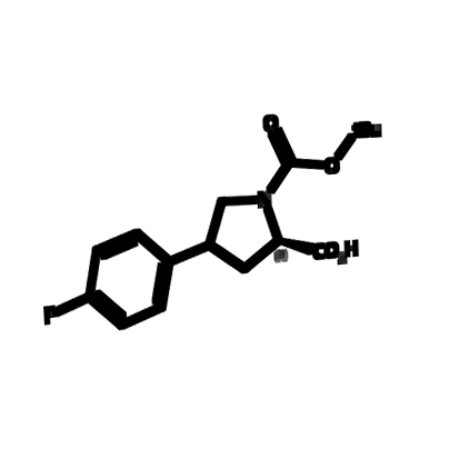 CC(C)(C)OC(=O)N1CC(c2ccc(F)cc2)C[C@@H]1C(=O)O